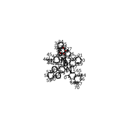 Cc1cc2c(cc1N1c3cc4c(cc3B3c5c1cc1ccccc1c5-c1ccc5c(sc6ccccc65)c1N3c1ccc(C(C)(C)C)cc1-c1ccccc1)Oc1ccccc1O4)C(C)(C)CCC2(C)C